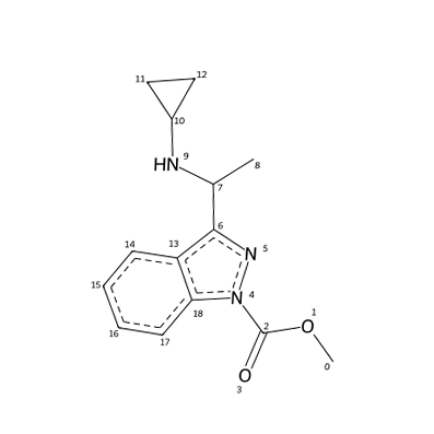 COC(=O)n1nc(C(C)NC2CC2)c2ccccc21